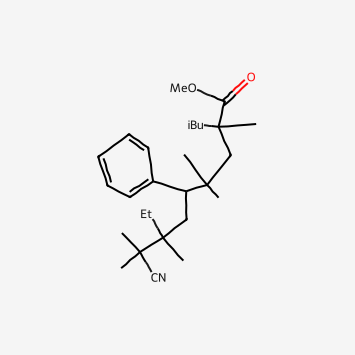 CCC(C)C(C)(CC(C)(C)C(CC(C)(CC)C(C)(C)C#N)c1ccccc1)C(=O)OC